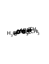 COc1ccc(CN2CCC[C@@H](NC(=O)OC(C)(C)C)C2)cc1